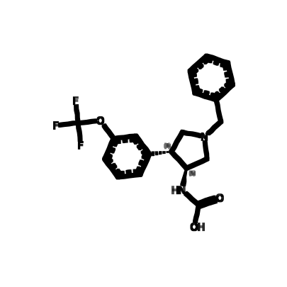 O=C(O)N[C@@H]1CN(Cc2ccccc2)C[C@H]1c1cccc(OC(F)(F)F)c1